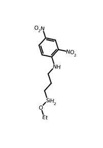 CCO[SiH2]CCCNc1ccc([N+](=O)[O-])cc1[N+](=O)[O-]